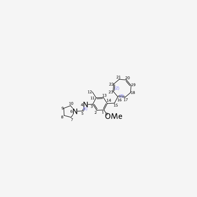 COc1cc(/N=C/N2CCCC2)c(C)cc1CC1=C/CC=CC/C=C\1